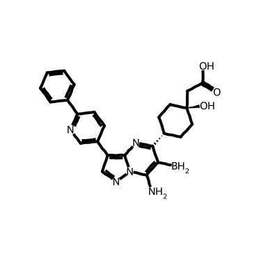 Bc1c(N)n2ncc(-c3ccc(-c4ccccc4)nc3)c2nc1[C@H]1CC[C@@](O)(CC(=O)O)CC1